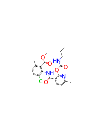 CCCNC(=O)Oc1nc(C)ccc1C(=O)Nc1c(Cl)ccc(C)c1C(=O)OC